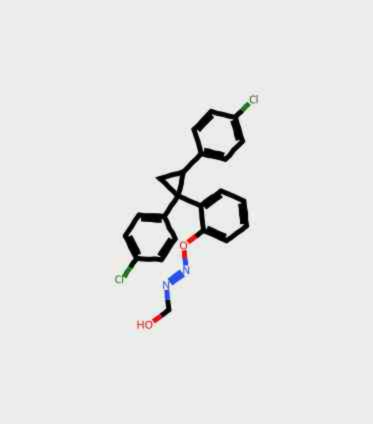 OCN=NOc1ccccc1C1(c2ccc(Cl)cc2)CC1c1ccc(Cl)cc1